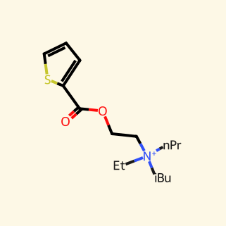 CCC[N+](CC)(CCOC(=O)c1cccs1)C(C)CC